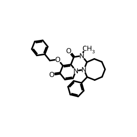 CN1C(=O)c2c(OCc3ccccc3)c(=O)ccn2N2C(c3ccccc3)CCCCCC12